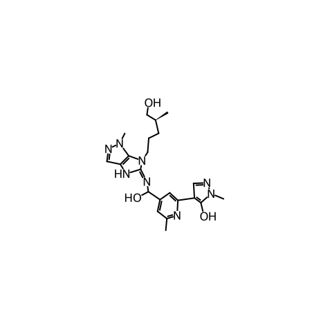 Cc1cc(C(O)/N=c2\[nH]c3cnn(C)c3n2CCC[C@H](C)CO)cc(-c2cnn(C)c2O)n1